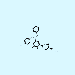 COC(=O)C1=COC(c2cc(N(Cc3ccc(OC)cc3)Cc3ccc(OC)cc3)cc(C)c2C(F)(F)F)CC1=O